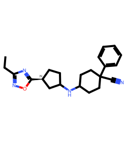 CCc1noc([C@H]2CCC(NC3CCC(C#N)(c4ccccc4)CC3)C2)n1